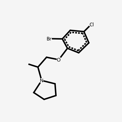 CC(COc1ccc(Cl)cc1Br)N1CCCC1